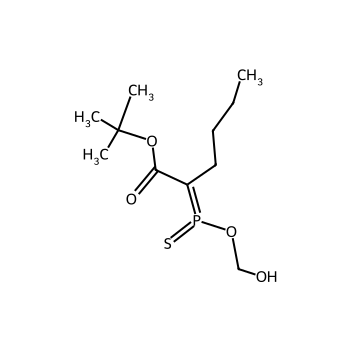 CCCC/C(C(=O)OC(C)(C)C)=P(=S)\OCO